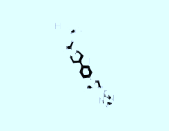 CC(=O)OCC(=O)N1CC=C(c2ccc(N3C[C@H](Cn4ncnn4)OC3=O)cc2F)CC1